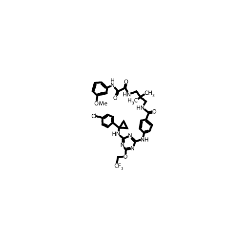 COc1cccc(NC(=O)C(=O)NCC(C)(C)CNC(=O)c2ccc(Nc3nc(NC4(c5ccc(Cl)cc5)CC4)nc(OCC(F)(F)F)n3)cc2)c1